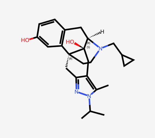 Cc1c2c(nn1C(C)C)C[C@]13CCN(CC4CC4)[C@H](Cc4ccc(O)cc41)[C@]3(O)C2